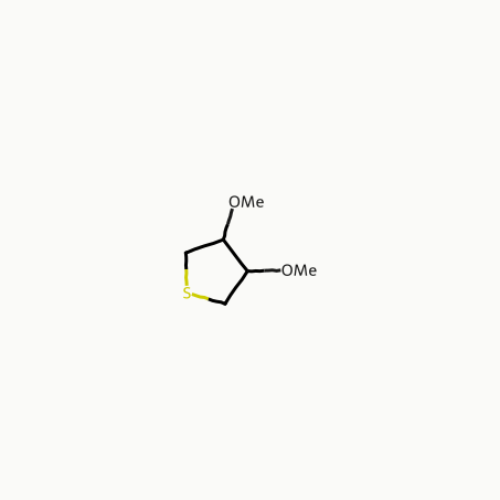 COC1CSCC1OC